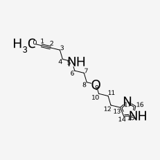 CC#CCCNCCCOCCCc1c[nH]cn1